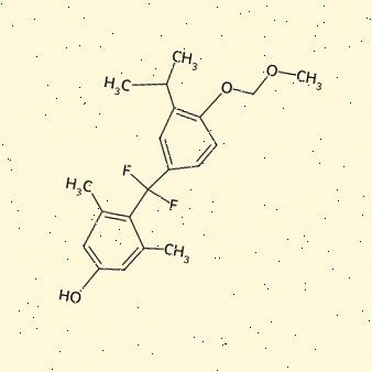 COCOc1ccc(C(F)(F)c2c(C)cc(O)cc2C)cc1C(C)C